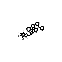 O=C1C(=Cc2cc3c(s2)-c2ccc(N(c4ccccc4)c4ccccc4)cc2C32c3ccccc3-c3ccccc32)C(=O)c2c(Cl)c(Cl)c(Cl)c(Cl)c21